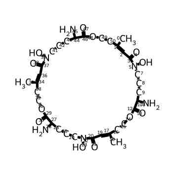 C/C1=C\C(=O)N(O)CCCC(N)C(=O)OCC/C(C)=C/C(=O)N(O)CCCC(N)C(=O)OCC/C(C)=C/C(=O)N(O)CCCC(N)C(=O)OCC1